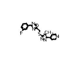 Cn1c(SCc2nc(-c3cccc(F)c3)no2)nnc1-c1ccncc1